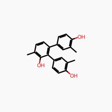 Cc1cc(-c2ccc(C)c(O)c2-c2ccc(O)c(C)c2)ccc1O